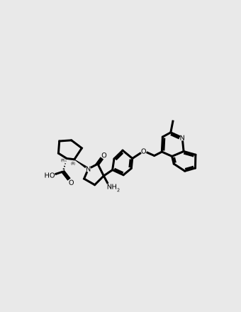 Cc1cc(COc2ccc(C3(N)CCN([C@@H]4CCCC[C@H]4C(=O)O)C3=O)cc2)c2ccccc2n1